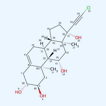 C[C@]12C[C@@H](O)[C@H](O)CC1=CC[C@@H]1[C@@H]2[C@@H](O)C[C@@]2(C)[C@H]1CC[C@@]2(O)C#CCl